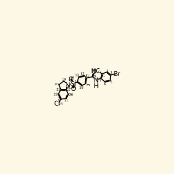 N#Cc1cc(Br)ccc1NC(=O)c1ccc(S(=O)(=O)N2CCc3cc(Cl)ccc32)cc1